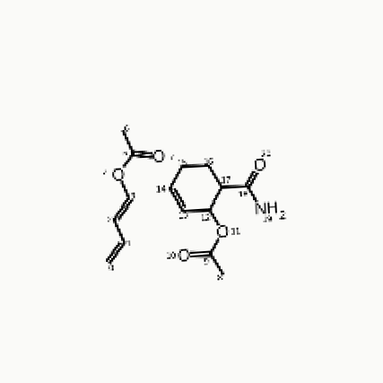 C=C/C=C/OC(C)=O.CC(=O)OC1C=CCCC1C(N)=O